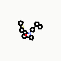 c1ccc(-c2ccccc2N(c2ccc(-c3cccc4ccccc34)cc2)c2ccc3ccc4c5ccccc5sc4c3c2)cc1